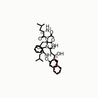 CC(=O)N(C(=O)[C@@H](N)CC(C)C)[C@](Cc1ccccc1)(C(=O)O)N(C(=O)C[C@@H](O)CCc1ccccc1)C(=O)[C@H](CC(C)C)NOc1ccccc1